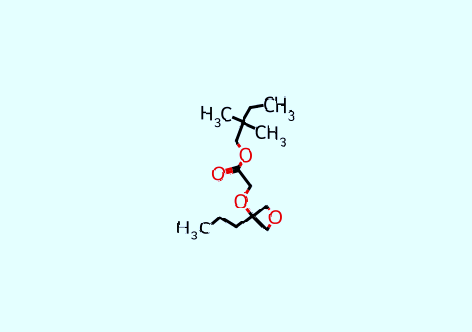 CCCC1(OCC(=O)OCC(C)(C)CC)COC1